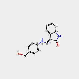 O=C1Nc2ccccc2/C1=C\Nc1ccc(CO)cc1